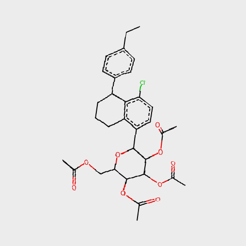 CCc1ccc(C2CCCc3c(C4OC(COC(C)=O)C(OC(C)=O)C(OC(C)=O)C4OC(C)=O)ccc(Cl)c32)cc1